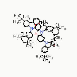 Cc1cc2c3c(c1)N(c1ccc(C(C)(C)C)cc1-c1ccccc1)c1cc4c(cc1B3c1ccc3cc1N2c1cc2c(cc1C)C(C)(C)CCC2(C)C1CCC2(C)c5cc(C(C)(C)C)ccc5N3C2(C)C1)C(C)(C)CCC4(C)C